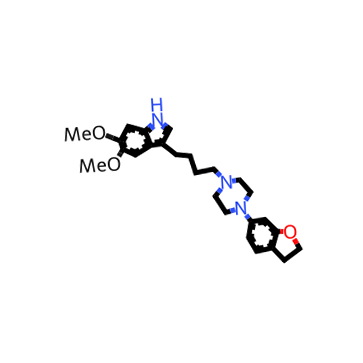 COc1cc2[nH]cc(CCCCN3CCN(c4ccc5c(c4)OCC5)CC3)c2cc1OC